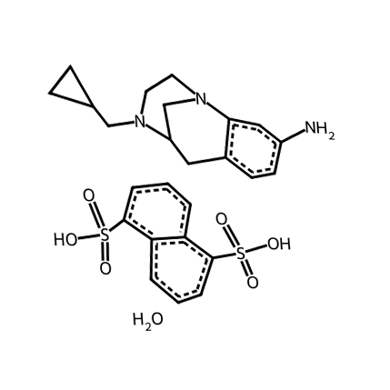 Nc1ccc2c(c1)N1CCN(CC3CC3)C(C2)C1.O.O=S(=O)(O)c1cccc2c(S(=O)(=O)O)cccc12